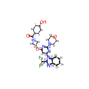 O=C(C1CCC(O)CC1)N1CC(Oc2cc(-n3c(C(F)F)nc4ccccc43)nc(N3CCOCC3)n2)C1